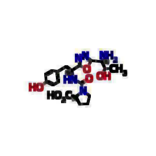 CC(O)[C@H](N)c1nnc([C@H](Cc2ccc(O)cc2)NC(=O)N2CCC[C@H]2C(=O)O)o1